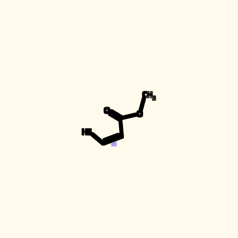 COC(=O)/C=C\S